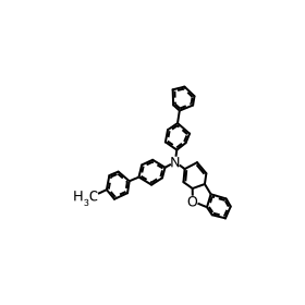 Cc1ccc(-c2ccc(N(C3=CC4Oc5ccccc5C4C=C3)c3ccc(-c4ccccc4)cc3)cc2)cc1